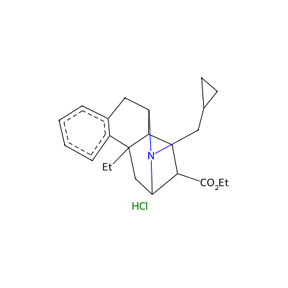 CCOC(=O)C1CC2C3Cc4ccccc4C2(CC)CC1N3CC1CC1.Cl